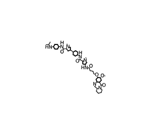 COc1cc2c(cc1OCCCC(=O)Nc1cc(C(=O)Nc3ccc(-c4cc(C(=O)Nc5ccc(NC(C)C)cc5)n(C)c4)cc3)n(C)c1)N=CC1CCCCN1C2=O